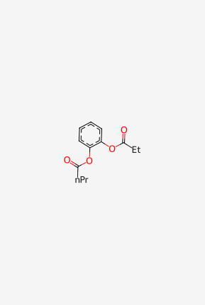 CCCC(=O)Oc1ccccc1OC(=O)CC